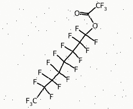 O=C(OC(F)(F)C(F)(F)C(F)(F)C(F)(F)C(F)(F)C(F)(F)C(F)(F)C(F)(F)F)C(F)(F)F